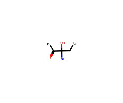 CC(=O)[CH]C(N)(O)C(=O)C(C)C